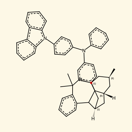 C[C@H]1C[C@@H]2C[C@@H]3C[C@H](C1)C21c2ccc(N(c4ccccc4)c4ccc(-n5c6ccccc6c6ccccc65)cc4)cc2C(C)(C)c2ccccc2C31